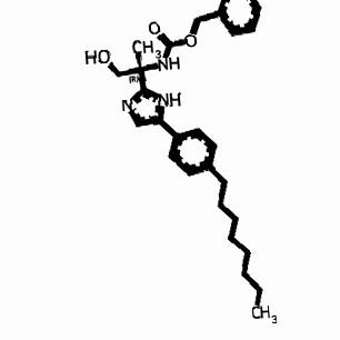 CCCCCCCCc1ccc(-c2cnc([C@](C)(CO)NC(=O)OCc3ccccc3)[nH]2)cc1